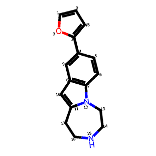 c1coc(-c2ccc3c(c2)cc2n3CCNCC2)c1